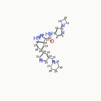 O=C(Nc1ccnc(N2CCC2)c1)c1n[nH]c2ccc(-c3cncc(CN4CCCCC4)c3)cc12